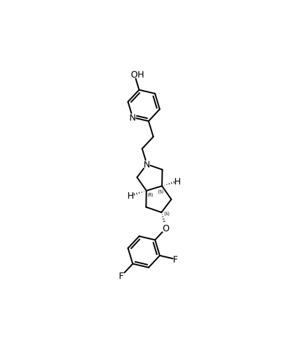 Oc1ccc(CCN2C[C@H]3C[C@H](Oc4ccc(F)cc4F)C[C@H]3C2)nc1